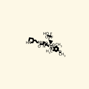 COc1cc(C)c(S(=O)(=O)N(Cc2nc(C(=O)NCCC3CCCNC3)co2)C2CC2)c(C)c1.O=C(O)C(F)(F)F